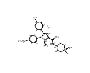 CCOC(=O)c1ccc(-n2c(-c3ccc(Cl)cc3Cl)nc(C(=O)NN3CCS(=O)(=O)CC3)c2C)cc1